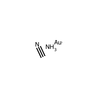 C#N.N.[Au]